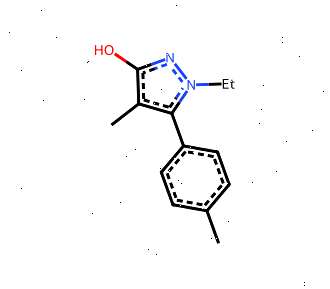 CCn1nc(O)c(C)c1-c1ccc(C)cc1